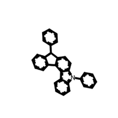 c1ccc(C2c3ccccc3-c3c2ccc2c3c3ccccc3n2-c2ccccc2)cc1